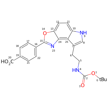 CC(C)(C)OC(=O)NCCc1c[nH]c2ccc3oc(-c4ccc(C(=O)O)cc4)nc3c12